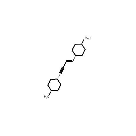 CCCCC[C@H]1CC[C@H](C=CC#C[C@H]2CC[C@H](C)CC2)CC1